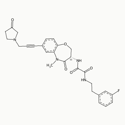 CN1C(=O)[C@@H](NC(=O)C(=O)NCCc2cccc(F)c2)COc2ccc(C#CCN3CCC(=O)C3)cc21